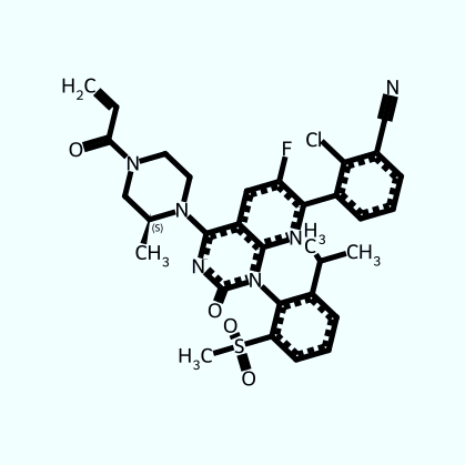 C=CC(=O)N1CCN(c2nc(=O)n(-c3c(C(C)C)cccc3S(C)(=O)=O)c3nc(-c4cccc(C#N)c4Cl)c(F)cc23)[C@@H](C)C1